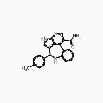 Cc1ccc(C2Nc3ccccc3-c3c(C(N)=O)nnc4[nH]cc2c34)cc1